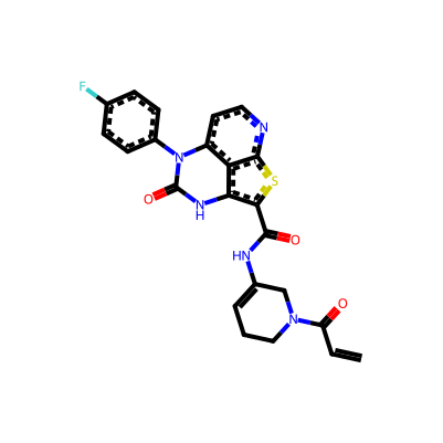 C=CC(=O)N1CCC=C(NC(=O)c2sc3nccc4c3c2NC(=O)N4c2ccc(F)cc2)C1